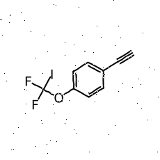 C#Cc1ccc(OC(F)(F)I)cc1